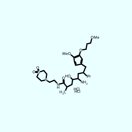 COCCCOc1cc(CC(CC(N)C(O)CC(C)C(=O)NCCN2CCS(=O)(=O)CC2)C(C)C)ccc1OC.Cl.Cl